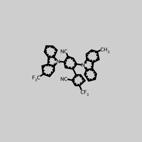 Cc1ccc2c(c1)c1ccccc1n2-c1cc(C#N)c(-n2c3ccccc3c3cc(C(F)(F)F)ccc32)cc1-c1ccc(C(F)(F)F)cc1C#N